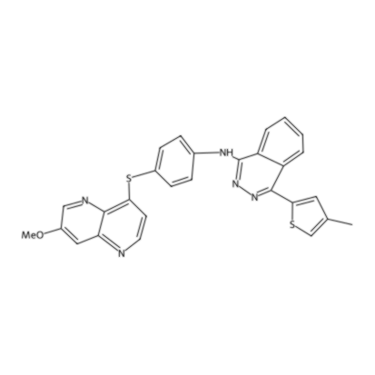 COc1cnc2c(Sc3ccc(Nc4nnc(-c5cc(C)cs5)c5ccccc45)cc3)ccnc2c1